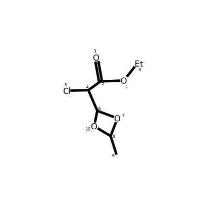 CCOC(=O)C(Cl)C1OC(C)O1